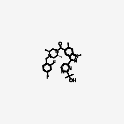 Cc1cc2c(cc1C(=O)N1C[C@H](C)N(Cc3ccc(F)cc3F)C[C@H]1C)c(-c1ccnc(C(C)(C)O)n1)nn2C